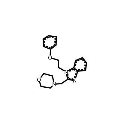 c1ccc(OCCn2c(CN3CCOCC3)nc3ccccc32)cc1